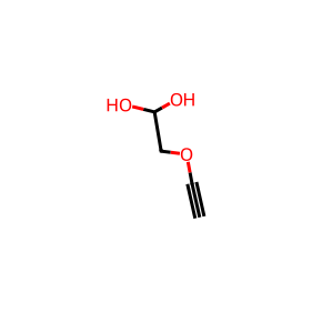 C#COCC(O)O